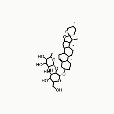 CC1O[C@@H](OC2C(O)[C@H](O)C(CO)O[C@H]2O[C@H]2CC[C@@]3(C)C(=CCC4C5CC6O[C@]7(CC[C@@H](C)CO7)[C@@H](C)C6[C@@]5(C)CCC43)C2)[C@@H](O)C(O)[C@H]1O